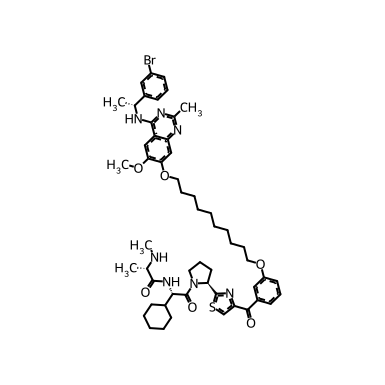 CN[C@@H](C)C(=O)N[C@H](C(=O)N1CCC[C@H]1c1nc(C(=O)c2cccc(OCCCCCCCCCCOc3cc4nc(C)nc(N[C@H](C)c5cccc(Br)c5)c4cc3OC)c2)cs1)C1CCCCC1